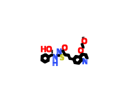 COCCOc1ccnc2ccc(C/C=C3\SC(N[C@@H](CO)c4ccccc4)=NC3=O)cc12